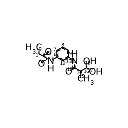 CCS(=O)(=O)Nc1cccc(NC(=O)C(C)C(O)O)c1